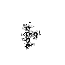 C[C@@H]1OC(CO)[C@@H](O[C@@H]2OC(CO)[C@@H](O[C@@H]3OC(CO[C@H]4OC(CO)[C@@H](O)C(O)[C@H]4O)[C@@H](O)C(O[C@H]4O[C@H](CO)[C@@H](O)C(O)C4O)[C@H]3O)C(O)[C@@H]2C)C(O)[C@@H]1C